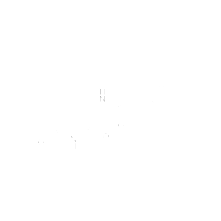 Cc1ccc(C(=O)NC2CCC(=O)NC2=O)s1